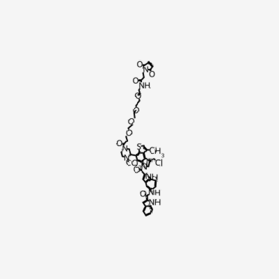 Cc1csc2c(C3CN(C(=O)CCOCCOCCOCCOCCNC(=O)CCN4C(=O)C=CC4=O)CCN3C(=O)O)cc3c(c12)[C@@H](CCl)CN3C(=O)c1cc2cc(NC(=O)c3cc4ccccc4[nH]3)ccc2[nH]1